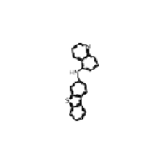 c1cc(Nc2ccc3c(c2)sc2ccccc23)c2cccnc2c1